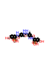 Cc1cc(C(=O)Nc2cc(S(=O)(=O)O)c3cc(O)ccc3c2)ccc1NC(=O)Nc1ccc(C(=O)Nc2cc(S(=O)(=O)O)c3cc(O)ccc3c2)cc1C